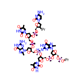 C=P(C)(OC[C@H]1O[C@@H](n2c(C)nc3c(=O)[nH]c(N)nc32)CC1OP(=C)(C)OC[C@H]1O[C@@H](n2cc(C)c(=O)[nH]c2=O)CC1OP(=C)(C)OC[C@H]1O[C@@H](N2C(C)=NC3C(=O)NC(N)=NC32)CC1OP(=C)(C)OC[C@H]1O[C@@H](n2cc(C)c(=O)[nH]c2=O)CC1OP(=C)(C)OC[C@H]1O[C@@H](n2ccc(N)nc2=O)CC1C(C)C)OC(C)C